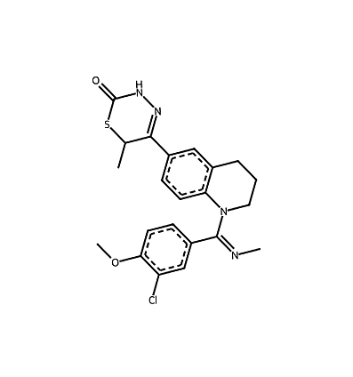 C/N=C(/c1ccc(OC)c(Cl)c1)N1CCCc2cc(C3=NNC(=O)SC3C)ccc21